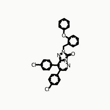 O=c1n(Cc2ccccc2Oc2ccccc2)nc2c(-c3ccc(Cl)cc3)c(-c3ccc(Cl)cc3)cnn12